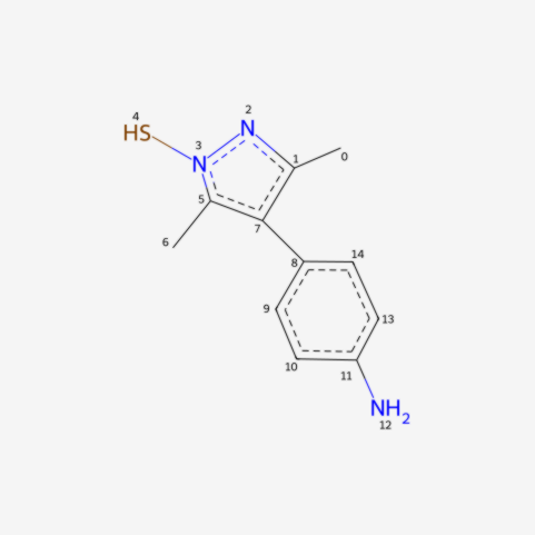 Cc1nn(S)c(C)c1-c1ccc(N)cc1